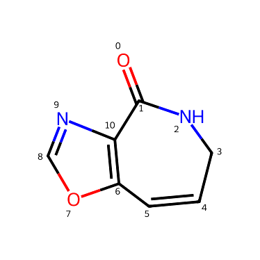 O=C1NCC=Cc2ocnc21